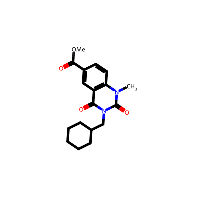 COC(=O)c1ccc2c(c1)c(=O)n(CC1CCCCC1)c(=O)n2C